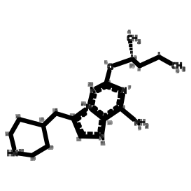 CCC[C@@H](C)Oc1nc(N)c2ncc(CC3CCNCC3)n2n1